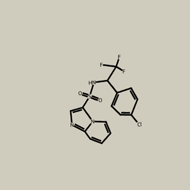 O=S(=O)(NC(c1ccc(Cl)cc1)C(F)(F)F)c1cnc2ccccn12